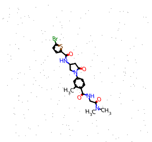 Cc1cc(N2CC(NC(=O)c3ccc(Br)s3)CC2=O)ccc1C(=O)NCC(=O)N(C)C